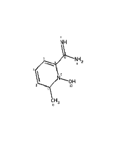 CC1C=CC=C(C(=N)N)N1O